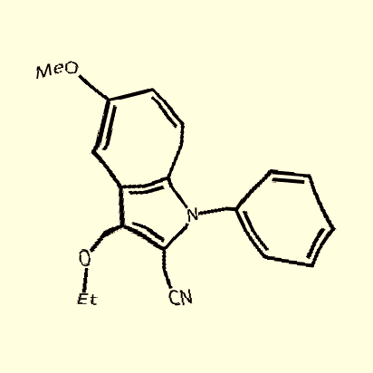 CCOc1c(C#N)n(-c2ccccc2)c2ccc(OC)cc12